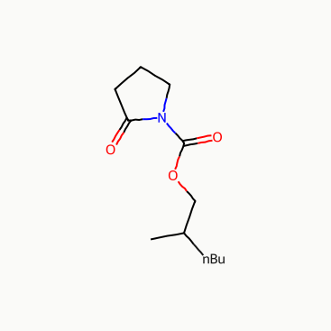 CCCCC(C)COC(=O)N1CCCC1=O